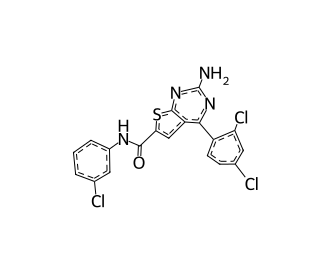 Nc1nc(-c2ccc(Cl)cc2Cl)c2cc(C(=O)Nc3cccc(Cl)c3)sc2n1